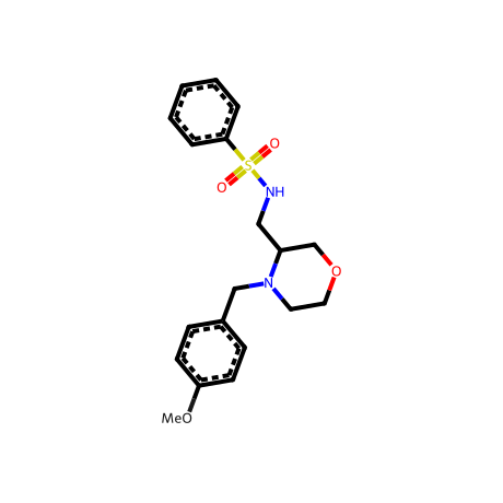 COc1ccc(CN2CCOCC2CNS(=O)(=O)c2ccccc2)cc1